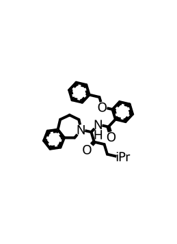 CC(C)CCC(=O)C(NC(=O)c1ccccc1OCc1ccccc1)N1CCCc2ccccc2C1